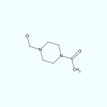 CC(=O)N1CCN(C[O])CC1